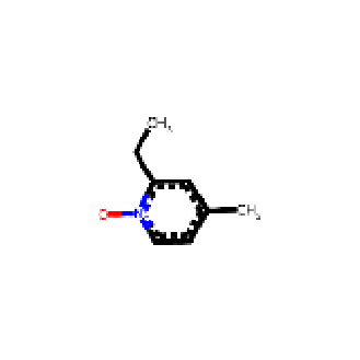 CCc1cc(C)cc[n+]1[O-]